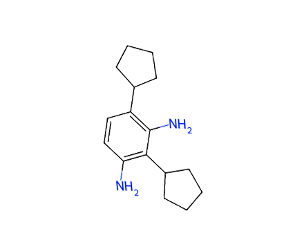 Nc1ccc(C2CCCC2)c(N)c1C1CCCC1